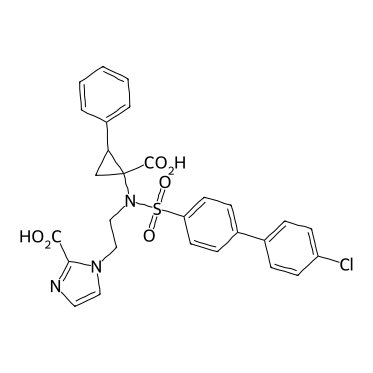 O=C(O)c1nccn1CCN(C1(C(=O)O)CC1c1ccccc1)S(=O)(=O)c1ccc(-c2ccc(Cl)cc2)cc1